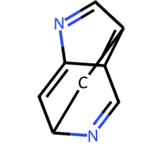 C1=NC2=CC3CC1=C2C=N3